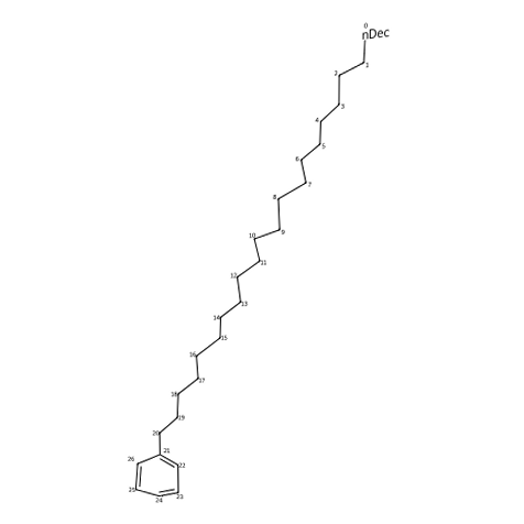 CCCCCCCCCCCCCCCCCCCCCCCCCCCCCCc1cc[c]cc1